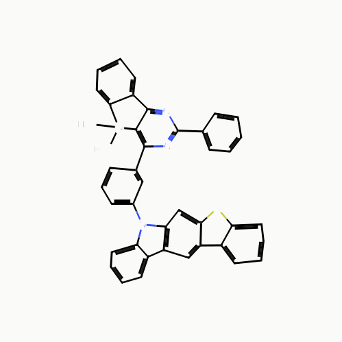 C[Si]1(C)c2ccccc2-c2nc(-c3ccccc3)nc(-c3cccc(-n4c5ccccc5c5cc6c(cc54)sc4ccccc46)c3)c21